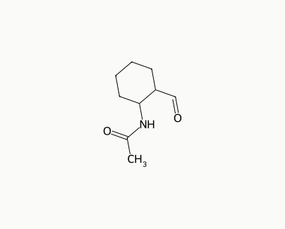 CC(=O)NC1CCCCC1C=O